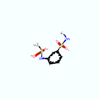 CC(C)NS(=O)(=O)c1cccc(NS(C)(=O)=O)c1